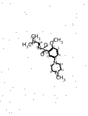 COc1ccc(N2CCN(C)CC2)cc1S(=O)(=O)N=CN(C)C